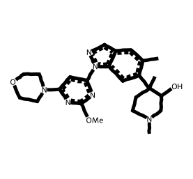 COc1nc(N2CCOCC2)cc(-n2ncc3cc(C)c(C4(C)CCN(C)CC4O)cc32)n1